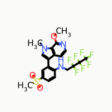 COc1nccc2c(-c3cc(S(C)(=O)=O)ccc3NCC(F)(F)C(F)(F)C(F)(F)F)cn(C)c12